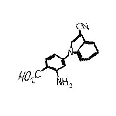 N#Cc1cn(-c2ccc(C(=O)O)c(N)c2)c2ccccc12